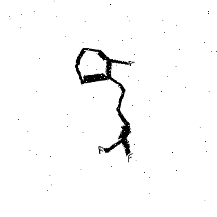 FC(F)=CCCc1ccccc1F